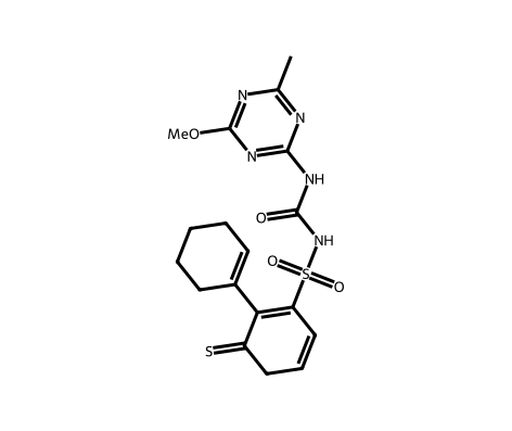 COc1nc(C)nc(NC(=O)NS(=O)(=O)C2=C(C3=CCCCC3)C(=S)CC=C2)n1